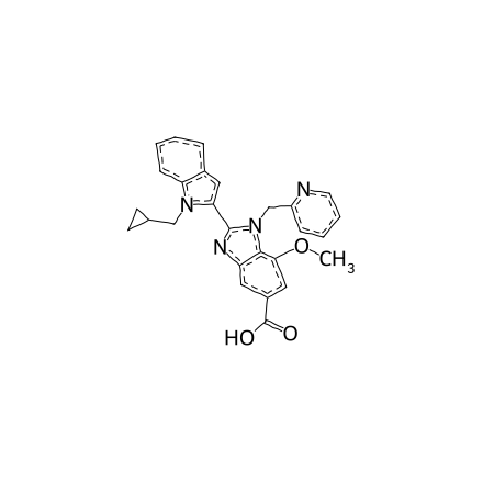 COc1cc(C(=O)O)cc2nc(-c3cc4ccccc4n3CC3CC3)n(Cc3ccccn3)c12